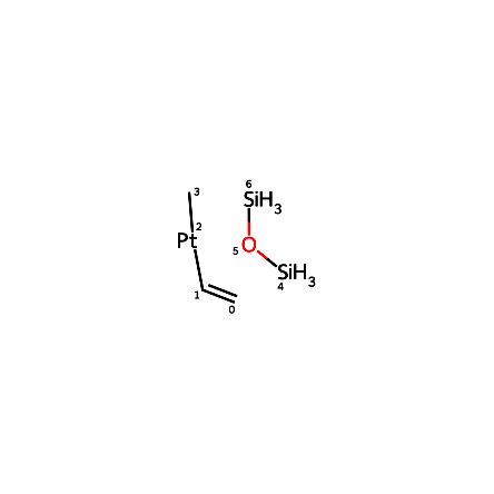 C=[CH][Pt][CH3].[SiH3]O[SiH3]